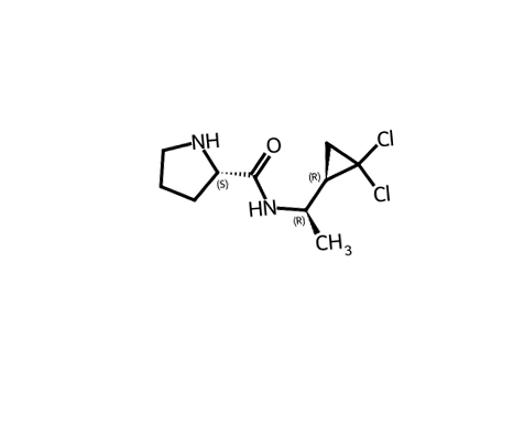 C[C@@H](NC(=O)[C@@H]1CCCN1)[C@H]1CC1(Cl)Cl